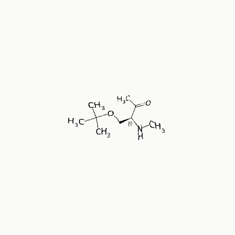 CN[C@@H](COC(C)(C)C)C(C)=O